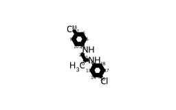 CC(CNc1ccc(Cl)cc1)Nc1ccc(Cl)cc1